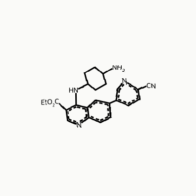 CCOC(=O)c1cnc2ccc(-c3ccc(C#N)nc3)cc2c1NC1CCC(N)CC1